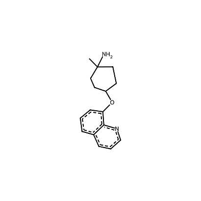 CC1(N)CCC(Oc2cccc3cccnc23)CC1